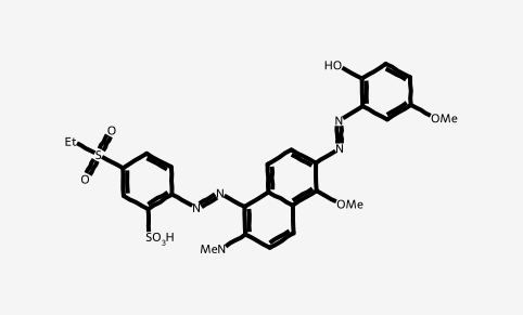 CCS(=O)(=O)c1ccc(/N=N/c2c(NC)ccc3c(OC)c(/N=N/c4cc(OC)ccc4O)ccc23)c(S(=O)(=O)O)c1